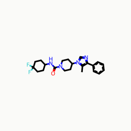 Cc1c(-c2ccccc2)ncn1C1CCN(C(=O)NC2CCC(F)(F)CC2)CC1